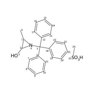 CC1C(O)N1C(c1ccccc1)(c1ccccc1)c1ccccc1.CS(=O)(=O)O